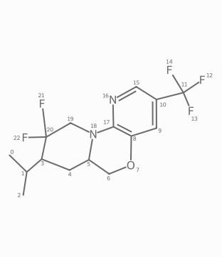 CC(C)C1CC2COc3cc(C(F)(F)F)cnc3N2CC1(F)F